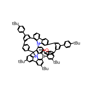 CC(C)(C)c1ccc(-c2cc3cc(c2)-c2cccc4c5cccc6c5n(c24)-c2c(c4c5c7c2C(C)(c2ccc(cc2)-c2cc(-c8ccc(C(C)(C)C)cc8)cc-6c2)c2cc(C(C)(C)C)cc6c8cc(C(C)(C)C)cc(c8n-7c26)B5c2cc(C(C)(C)C)ccc2O4)C(C)(C)c2ccc-3cc2)cc1